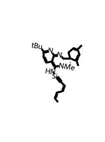 C/C=C\C=C/C#[Si]N/C(NC)=C1\C=CC(C(C)(C)C)=N\C1=N\C[C@@]1(C)CC=C(C)C=C1C